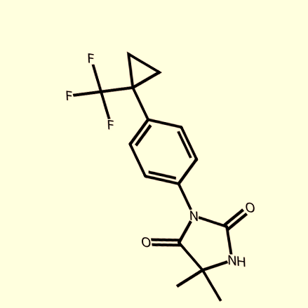 CC1(C)NC(=O)N(c2ccc(C3(C(F)(F)F)CC3)cc2)C1=O